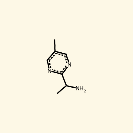 Cc1cnc(C(C)N)nc1